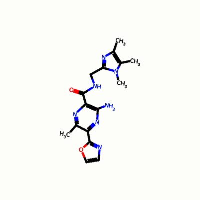 Cc1nc(C(=O)NCc2nc(C)c(C)n2C)c(N)nc1-c1ncco1